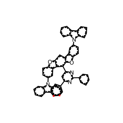 c1ccc(-c2cc(-c3c4oc5ccc(-n6c7ccccc7c7ccccc76)cc5c4cc4oc5ccc(-n6c7ccccc7c7ccccc76)cc5c34)nc(-c3ccccc3)n2)cc1